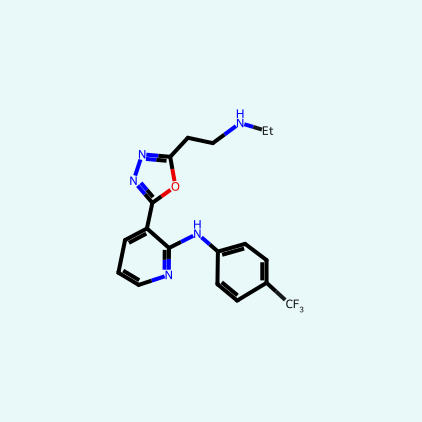 CCNCCc1nnc(-c2cccnc2Nc2ccc(C(F)(F)F)cc2)o1